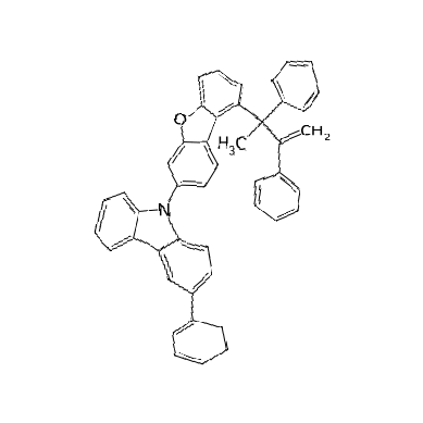 C=C(c1ccccc1)C(C)(c1ccccc1)c1cccc2oc3cc(-n4c5ccccc5c5cc(C6=CC=CCC6)ccc54)ccc3c12